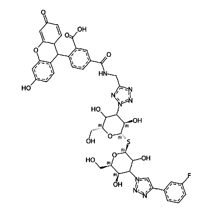 O=C1C=CC2C(=C1)Oc1cc(O)ccc1C2c1ccc(C(=O)NCc2nnn(C3C(O)[C@@H](CO)O[C@@H](S[C@@H]4O[C@H](CO)[C@H](O)C(n5cc(-c6cccc(F)c6)nn5)C4O)[C@@H]3O)n2)cc1C(=O)O